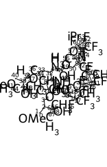 COCC(COC(C)(C)CC(NC(=O)OCC(F)(C(F)(F)F)C(C)(C)OC(F)(F)C(F)(C(C)(C)F)C(F)(F)F)C(CC(C)(C)OCC(COC)C(C)(C)O)NC(=O)OCC1(C(F)(F)F)N(F)C1(C)OC(F)(F)C(F)(C(C)C)C(F)(F)F)C(C)(C)O